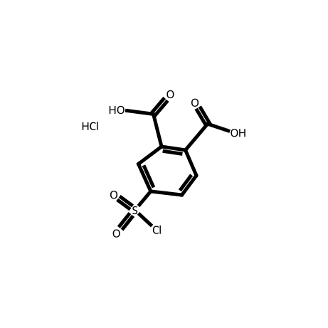 Cl.O=C(O)c1ccc(S(=O)(=O)Cl)cc1C(=O)O